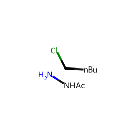 CC(=O)NN.CCCCCCl